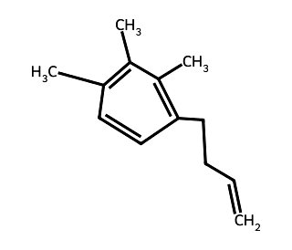 C=CCCc1ccc(C)c(C)c1C